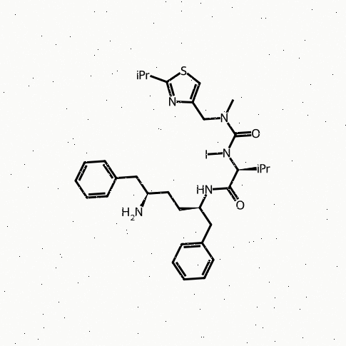 CC(C)c1nc(CN(C)C(=O)N(I)[C@H](C(=O)N[C@H](CC[C@@H](N)Cc2ccccc2)Cc2ccccc2)C(C)C)cs1